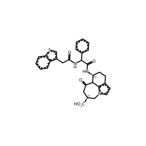 O=C(Cc1csc2ccccc12)NC(C(=O)N[C@H]1CCc2ccn3c2C1C(=O)C[C@H](C(=O)O)C3)c1ccccc1